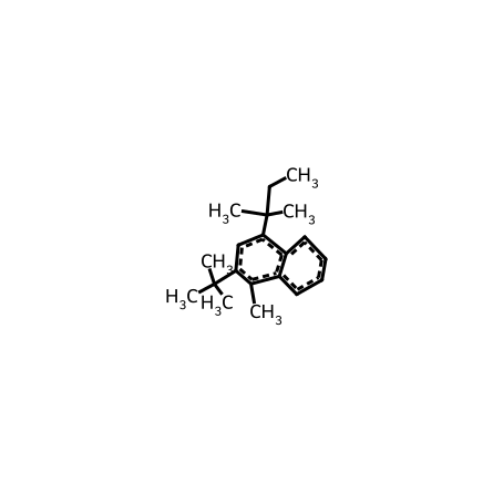 CCC(C)(C)c1cc(C(C)(C)C)c(C)c2ccccc12